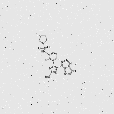 CC(C)(C)c1nc(-c2cccc(NS(=O)(=O)N3CCCC3)c2F)c(-c2ncnc3[nH]cnc23)s1